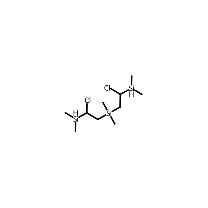 C[SiH](C)C(Cl)C[Si](C)(C)CC(Cl)[SiH](C)C